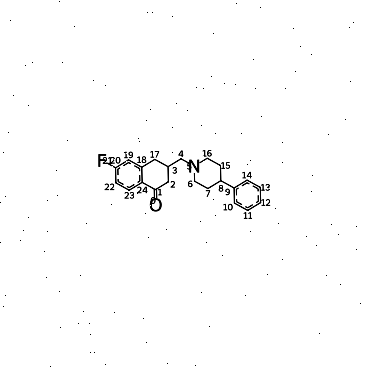 O=C1CC(CN2CCC(c3ccccc3)CC2)Cc2cc(F)ccc21